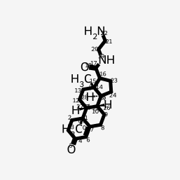 C[C@]12CCC(=O)C=C1CC[C@@H]1[C@H]2CC[C@]2(C)C(C(=O)NCCN)CC[C@@H]12